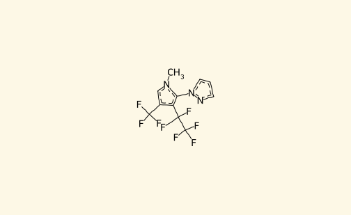 Cn1cc(C(F)(F)F)c(C(F)(F)C(F)(F)F)c1-n1cccn1